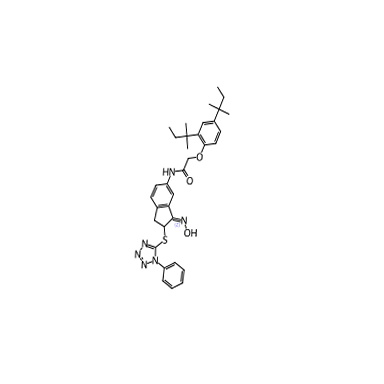 CCC(C)(C)c1ccc(OCC(=O)Nc2ccc3c(c2)/C(=N/O)C(Sc2nnnn2-c2ccccc2)C3)c(C(C)(C)CC)c1